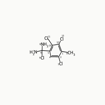 Cc1c(Cl)cc(C(N)(N)Cl)c(Cl)c1Cl